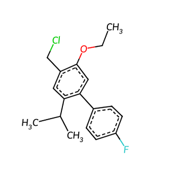 CCOc1cc(-c2ccc(F)cc2)c(C(C)C)cc1CCl